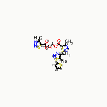 CCOC(=O)c1snnc1C.Cc1nns[c]1[Na].Cc1nnsc1C(=O)O.c1ccsc1